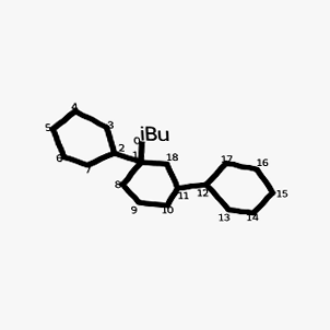 CCC(C)C1(C2CCCCC2)CCCC(C2CCCCC2)C1